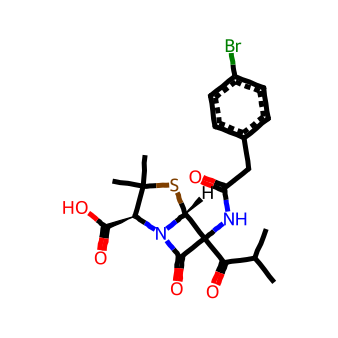 CC(C)C(=O)C1(NC(=O)Cc2ccc(Br)cc2)C(=O)N2[C@@H](C(=O)O)C(C)(C)S[C@@H]21